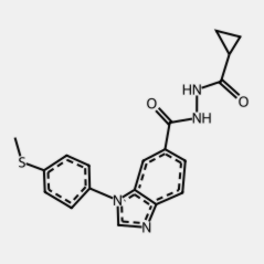 CSc1ccc(-n2cnc3ccc(C(=O)NNC(=O)C4CC4)cc32)cc1